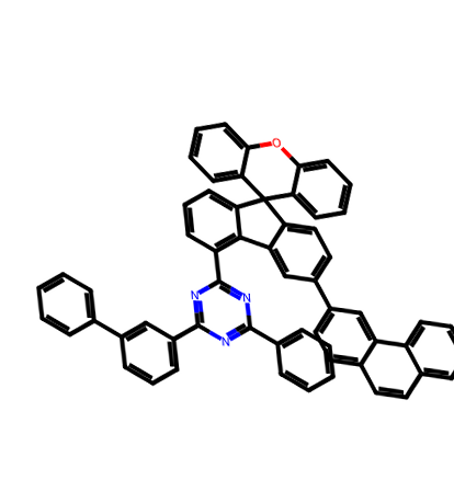 c1ccc(-c2cccc(-c3nc(-c4ccccc4)nc(-c4cccc5c4-c4cc(-c6ccc7ccc8ccccc8c7c6)ccc4C54c5ccccc5Oc5ccccc54)n3)c2)cc1